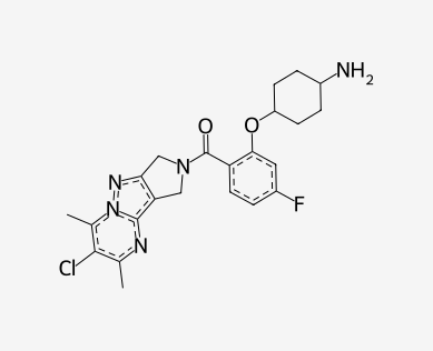 Cc1nc2c3c(nn2c(C)c1Cl)CN(C(=O)c1ccc(F)cc1OC1CCC(N)CC1)C3